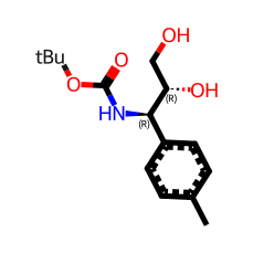 Cc1ccc([C@@H](NC(=O)OC(C)(C)C)[C@@H](O)CO)cc1